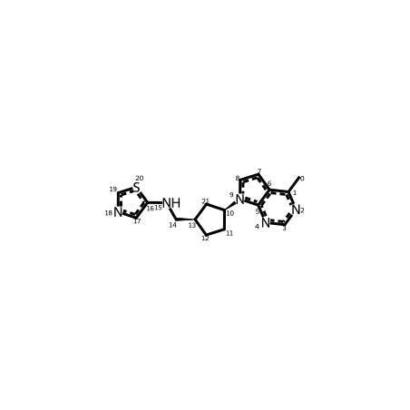 Cc1ncnc2c1ccn2[C@H]1CC[C@@H](CNc2cncs2)C1